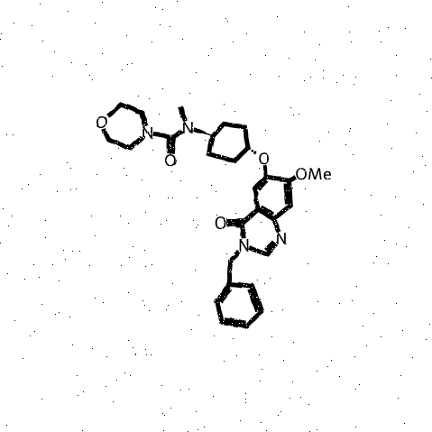 COc1cc2ncn(Cc3ccccc3)c(=O)c2cc1O[C@H]1CC[C@H](N(C)C(=O)N2CCOCC2)CC1